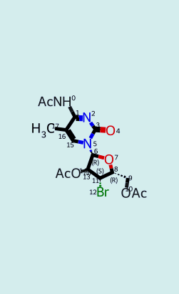 CC(=O)Nc1nc(=O)n([C@@H]2O[C@H](COC(C)=O)[C@H](Br)[C@H]2OC(C)=O)cc1C